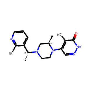 CCc1ncccc1[C@@H](C)N1CCN(c2cn[nH]c(=O)c2C#N)[C@H](C)C1